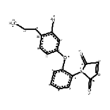 [2H]c1cc(Oc2ccccc2N2C(=O)C=CC2=O)ccc1CCC